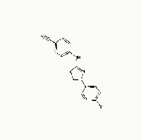 N#Cc1ccc(Nc2nc(-c3ccc(Cl)cc3)cs2)cc1